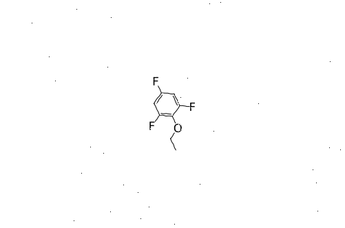 CCOc1c(F)cc(F)cc1F